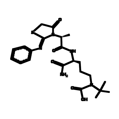 C[C@H](C(=O)N[C@@H](CCCN(C(=O)O)C(C)(C)C)C(N)=O)N1C(=O)CS/C1=N\c1ccccc1